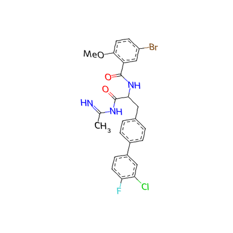 COc1ccc(Br)cc1C(=O)NC(Cc1ccc(-c2ccc(F)c(Cl)c2)cc1)C(=O)NC(C)=N